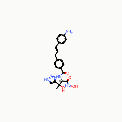 CC(O)(c1c[nH]nn1)[C@H](NC(=O)c1ccc(CC=Cc2ccc(N)cc2)cc1)C(=O)NO